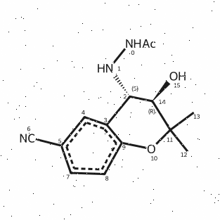 CC(=O)NN[C@H]1c2cc(C#N)ccc2OC(C)(C)[C@@H]1O